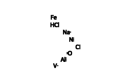 Cl.[Al].[C].[Fe].[N].[Na].[O].[V]